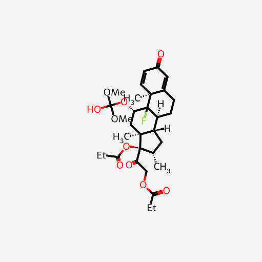 CCC(=O)OCC(=O)[C@@]1(OC(=O)CC)[C@@H](C)C[C@H]2[C@@H]3CCC4=CC(=O)C=C[C@]4(C)C3(F)[C@@H](OC(O)(OC)OC)C[C@@]21C